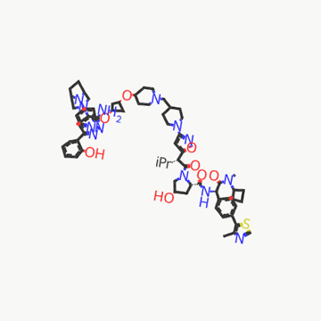 Cc1ncsc1-c1ccc([C@@H](NC(=O)[C@@H]2C[C@@H](O)CN2C(=O)[C@@H](c2cc(N3CCC(CN4CCC(O[C@H]5C[C@H](Oc6cc(N7C8CCC7CN(c7cc(-c9ccccc9O)nnc7N)C8)ccn6)C5)CC4)CC3)no2)C(C)C)C(=O)N(C)C2CCC2)cc1